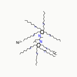 CCCCCC/C=C/CCc1cc(/N=C(C)/C(CCCC)=N/c2cc(CC/C=C/CCCCCC)c(CC/C=C/CCCCCC)c(CC/C=C/CCCCCC)c2CC/C=C/CCCCCC)c(CC/C=C/CCCCCC)c(CC/C=C/CCCCCC)c1CC/C=C/CCCCCC.[Ni+2]